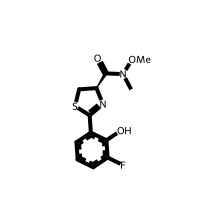 CON(C)C(=O)[C@@H]1CSC(c2cccc(F)c2O)=N1